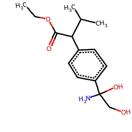 CCOC(=O)C(c1ccc(C(N)(O)CO)cc1)C(C)C